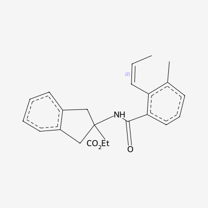 C/C=C\c1c(C)cccc1C(=O)NC1(C(=O)OCC)Cc2ccccc2C1